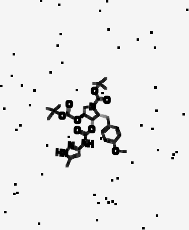 COc1ccc(C[C@@H]2[C@H](OC(=O)Nc3cc(C)[nH]n3)[C@@H](OC(=O)OC(C)(C)C)CN2C(=O)OC(C)(C)C)cc1